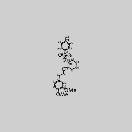 COc1ccc(CCOC2CCCC[C@H]2OS(=O)(=O)c2ccc(C)cc2)cc1OC